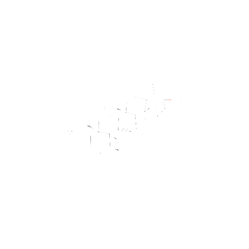 COC(=O)[C@]12CC[C@@H](C)[C@H](C)[C@H]1C1=CC[C@@H]3[C@@]4(C)CC[C@](C)(O)C(C)C4CC[C@@]3(C)[C@]1(C)CC2